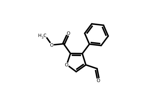 COC(=O)c1occ(C=O)c1-c1ccccc1